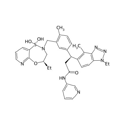 CC[C@@H]1CN(Cc2cc([C@H](CC(=O)Nc3cccnc3)c3ccc4c(nnn4CC)c3C)ccc2C)S(O)(O)c2cccnc2O1